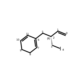 C=C[C@H](CI)CC1=CCCC=C1